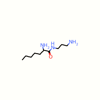 CCCCCC(N)C(=O)NCCCN